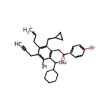 C#CCc1c(CC=C)c(CC2CC2)c(CC(=O)c2ccc(Br)cc2)c([C](C2CCCCC2)C(C)(C)C)c1C(C)C